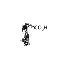 O=C(O)CCC/C=C\C[C@@H]1[C@H](CCCCNCC(=O)Nc2ccccc2)[C@@H]2CC[C@H]1O2